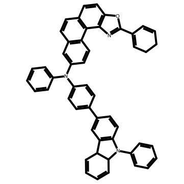 C1=CC2c3cc(-c4ccc(N(c5ccccc5)c5ccc6c(ccc7ccc8oc(C9=CCCC=C9)nc8c76)c5)cc4)ccc3N(c3ccccc3)C2C=C1